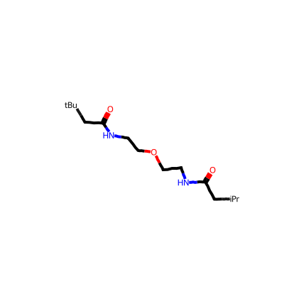 CC(C)CC(=O)NCCOCCNC(=O)CC(C)(C)C